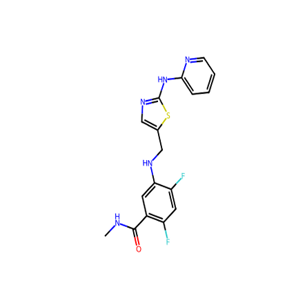 CNC(=O)c1cc(NCc2cnc(Nc3ccccn3)s2)c(F)cc1F